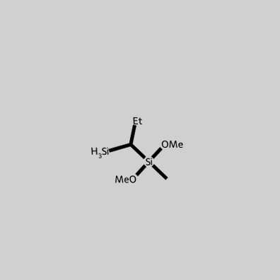 CCC([SiH3])[Si](C)(OC)OC